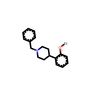 CCOc1ccccc1C1CCN(Cc2ccccc2)CC1